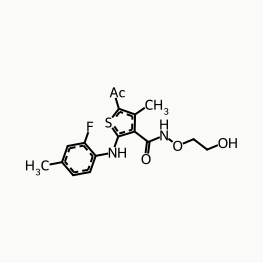 CC(=O)c1sc(Nc2ccc(C)cc2F)c(C(=O)NOCCO)c1C